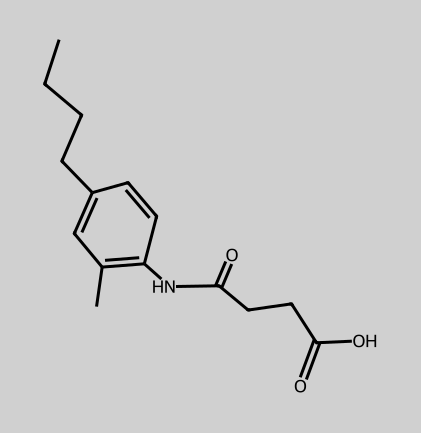 CCCCc1ccc(NC(=O)CCC(=O)O)c(C)c1